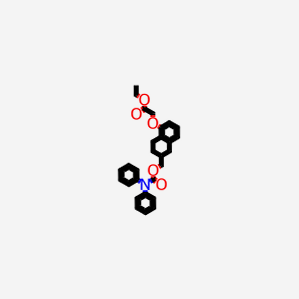 CCOC(=O)COc1cccc2c1CCC(COC(=O)N(c1ccccc1)c1ccccc1)C2